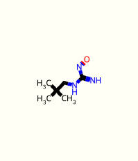 CC(C)(C)CNC(=N)N=O